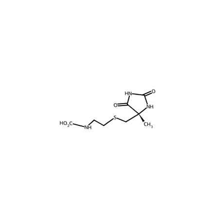 C[C@]1(CSCCNC(=O)O)NC(=O)NC1=O